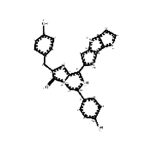 O=c1c(Cc2ccc(O)cc2)nc2c(-c3cc4sc5ccsc5c4s3)[nH]c(-c3ccc(O)cc3)cn1-2